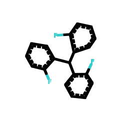 Fc1ccccc1C(c1ccccc1F)c1ccccc1F